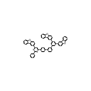 c1ccc(-c2nc(-c3ccc(-c4cccc(-c5cc(-c6ccc7oc8ccccc8c7c6)cc(-c6ccc7oc8ccccc8c7c6)c5)c4)cc3)cc(-c3ccc4oc5ccccc5c4c3)n2)cc1